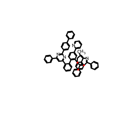 C\C1=C(c2ccccc2-c2cc(-c3ccccn3)ccc2-c2ccccc2-c2cc(-c3ccccc3)nc(-c3ccc(-c4ccccc4)cc3)n2)/N=C(c2ccccc2)\C=C(\c2ccccc2)CC1